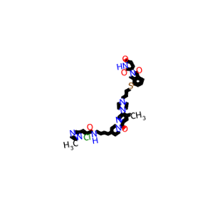 CCc1cc(C(=O)N2CCC(CCCCNC(=O)/C(Cl)=C/c3cncc(C)n3)CC2)ncc1N1CCN(CCCCSc2cccc3c2CN(C2CCC(=O)NC2=O)C3=O)CC1